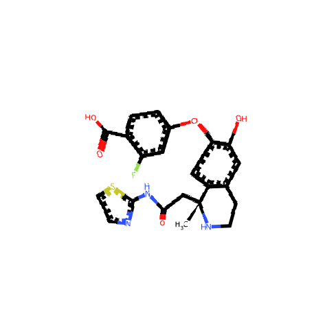 C[C@]1(CC(=O)Nc2nccs2)NCCc2cc(O)c(Oc3ccc(C(=O)O)c(F)c3)cc21